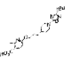 Cc1nc(OCCCC2CCN(c3nc(C(C)(C)C)no3)CC2)ccc1C(=O)O